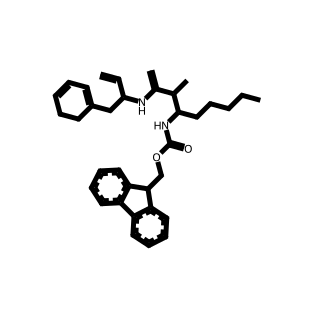 C=CC(CC1=CC=CCC1)NC(=C)C(C)C(CCCCC)NC(=O)OCC1c2ccccc2-c2ccccc21